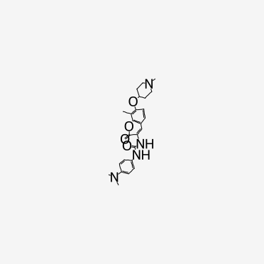 Cc1c(OC2CCN(C)CC2)ccc2cc(NC(=O)Nc3ccc(N(C)C)cc3)c(=O)oc12